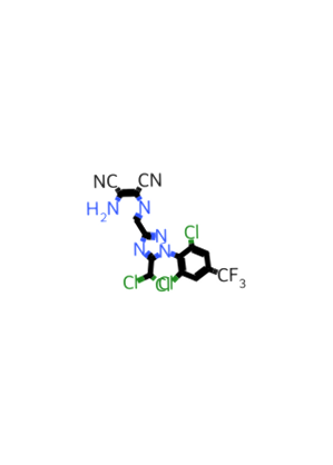 N#CC(N)=C(C#N)N=Cc1nc(C(Cl)Cl)n(-c2c(Cl)cc(C(F)(F)F)cc2Cl)n1